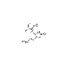 CCCCCCC=CC1CC(=O)OC1=O.O=C1CCC(=O)O1